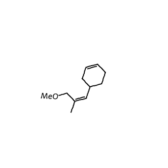 COCC(C)=CC1CC=CCC1